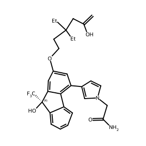 C=C(O)CC(CC)(CC)CCOc1cc(-c2ccn(CC(N)=O)c2)c2c(c1)[C@@](O)(C(F)(F)F)c1ccccc1-2